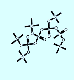 C[Si](C)(C)OP(C)(=O)OP(=O)(O[Si](C)(C)C)OP(=O)(O[Si](C)(C)C)OP(=O)(O[Si](C)(C)C)O[Si](C)(C)C